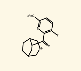 COc1ccc(F)c(C(=O)N2CC3CCC2CNC3)n1